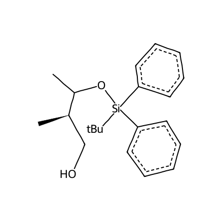 CC(O[Si](c1ccccc1)(c1ccccc1)C(C)(C)C)[C@H](C)CO